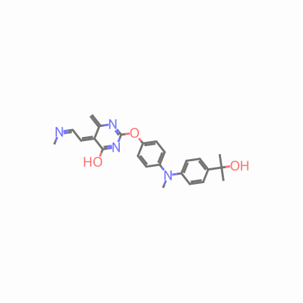 C=c1nc(Oc2ccc(N(C)c3ccc(C(C)(C)O)cc3)cc2)nc(O)/c1=C/C=N\C